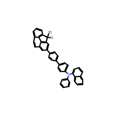 CCC1(CC)c2cccc3ccc4cc(-c5ccc(-c6ccc(N(c7ccccc7)c7cccc8ccccc78)cc6)cc5)cc1c4c23